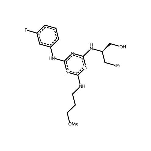 COCCCNc1nc(Nc2cccc(F)c2)nc(N[C@@H](CO)CC(C)C)n1